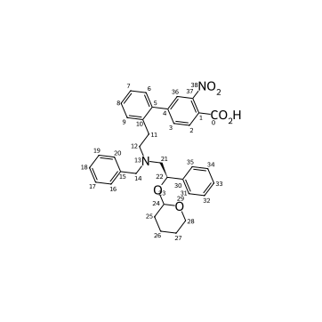 O=C(O)c1ccc(-c2ccccc2CCN(Cc2ccccc2)C[C@H](OC2CCCCO2)c2ccccc2)cc1[N+](=O)[O-]